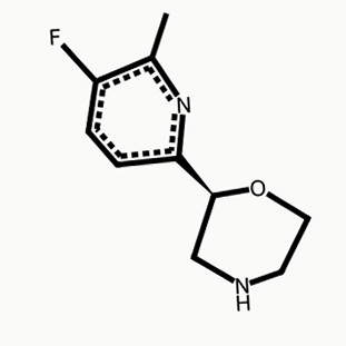 Cc1nc([C@@H]2CNCCO2)ccc1F